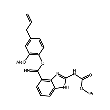 C=CCc1ccc(OC(=N)c2cccc3[nH]c(NC(=O)OC(C)C)nc23)c(OC)c1